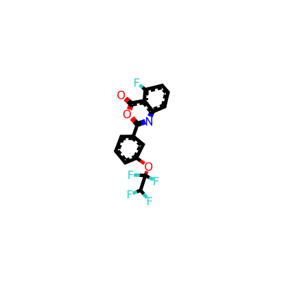 O=c1oc(-c2cccc(OC(F)(F)C(F)F)c2)nc2cccc(F)c12